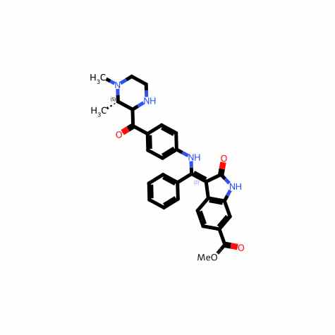 COC(=O)c1ccc2c(c1)NC(=O)/C2=C(\Nc1ccc(C(=O)C2NCCN(C)[C@H]2C)cc1)c1ccccc1